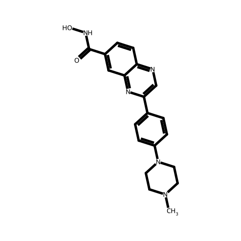 CN1CCN(c2ccc(-c3cnc4ccc(C(=O)NO)cc4n3)cc2)CC1